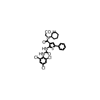 O=C(O)CN(C(=O)c1cc(-c2ccccc2)sc1NC(=O)Nc1c(Cl)cc(Cl)cc1Cl)C1CCCCC1